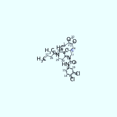 C#CC1=C(/C=C(\C)CN(C(=O)Nc2ccc(Cl)c(Cl)c2)C2CCN(C(C)CCC)CC2)OCO1